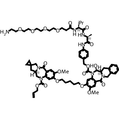 C=CCOC(=O)N1C[C@@H]2CC3(CC3)CN2C(=O)c2cc(OC)c(OCCCCCOc3cc4c(cc3OC)C(=O)N3Cc5ccccc5C[C@H]3[C@H](O)N4C(=O)OCc3ccc(NC(=O)[C@H](C)NC(=O)[C@@H](NC(=O)CCOCCOCCOCCOCCN)C(C)C)cc3)cc21